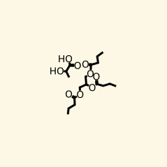 CC(O)C(=O)O.CCCC(=O)OCC(COC(=O)CCC)OC(=O)CCC